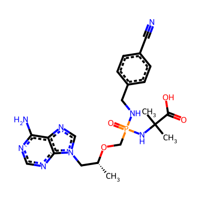 C[C@H](Cn1cnc2c(N)ncnc21)OCP(=O)(NCc1ccc(C#N)cc1)NC(C)(C)C(=O)O